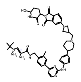 Cc1cc(-c2ccnc(Nc3ccc(C4CCN(CC5CN(c6ccc7c(c6)C(=O)N(C6CCC(O)NC6=O)C7=O)C5)CC4)cc3)n2)ccc1CNC(=O)/C(N)=C/N(N)C(C)(C)C